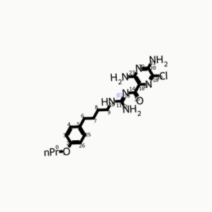 CCCOc1ccc(CCCCN/C(N)=N/C(=O)c2nc(Cl)c(N)nc2N)cc1